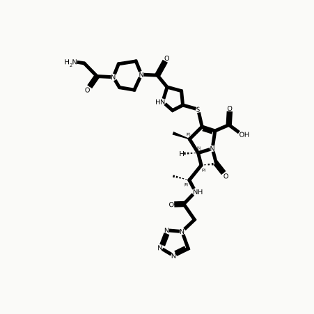 C[C@@H](NC(=O)Cn1cnnn1)[C@H]1C(=O)N2C(C(=O)O)=C(SC3CNC(C(=O)N4CCN(C(=O)CN)CC4)C3)[C@H](C)[C@H]12